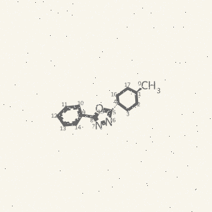 C[C@H]1CC[C@H](c2nnc(-c3ccccc3)o2)CC1